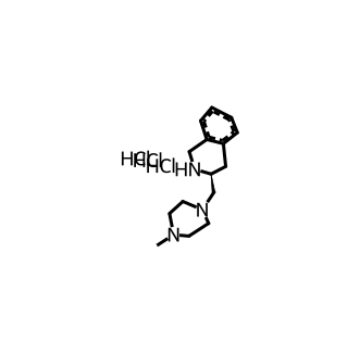 CN1CCN(C[C@@H]2Cc3ccccc3CN2)CC1.Cl.Cl.Cl